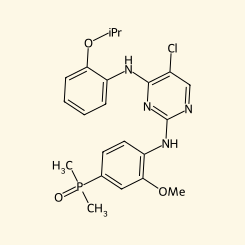 COc1cc(P(C)(C)=O)ccc1Nc1ncc(Cl)c(Nc2ccccc2OC(C)C)n1